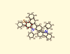 c1ccc(N(c2ccc3sc4ccccc4c3c2)c2ccc(-c3ccccc3-n3c4ccccc4c4ccccc43)cc2-c2cc3ccccc3c3ccccc23)cc1